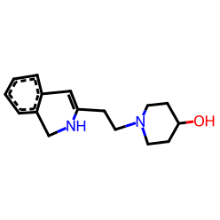 OC1CCN(CCC2=Cc3ccccc3CN2)CC1